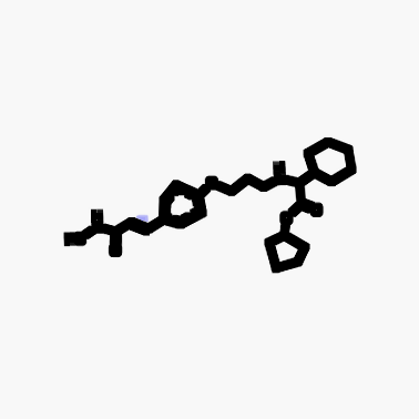 O=C(/C=C/c1ccc(OCCCNC(C(=O)OC2CCCC2)C2CCCCC2)cc1)NO